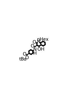 CCCCCCn1c(=O)c(C(=O)Nc2ccc(C(=O)OC(C)(C)C)cc2)c(O)c2ccccc21